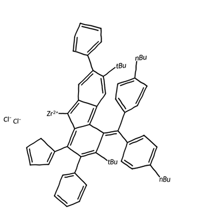 CCCCc1ccc(C(c2ccc(CCCC)cc2)=c2c(C(C)(C)C)c(-c3ccccc3)c(C3=CC=CC3)c3c2=c2cc(C(C)(C)C)c(-c4ccccc4)cc2=[C]3[Zr+2])cc1.[Cl-].[Cl-]